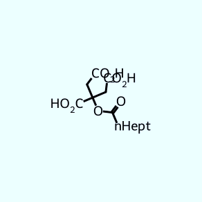 CCCCCCCC(=O)OC(CC(=O)O)(CC(=O)O)C(=O)O